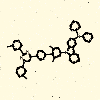 Cc1cccc(-c2cc(-c3ccc(-c4c(C)cc(-n5c6ccccc6c6cc(N(c7ccccc7)c7ccccc7)ccc65)cc4C)cc3)nc(-c3cccc(C)c3)n2)c1